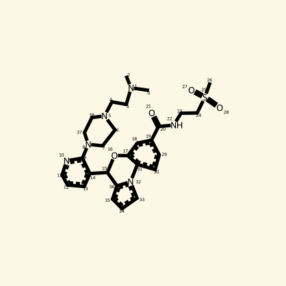 CN(C)CCN1CCN(c2ncccc2C2Oc3cc(C(=O)NCCS(C)(=O)=O)ccc3-n3cccc32)CC1